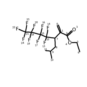 C=C(C(=O)OCC)C(CC(C)C)C(F)(F)C(F)(F)C(F)(F)C(F)(F)F